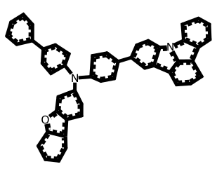 c1ccc(-c2ccc(N(c3ccc(-c4ccc5c(c4)c4cccc6c7ccccc7n5c64)cc3)c3ccc4c(c3)oc3ccccc34)cc2)cc1